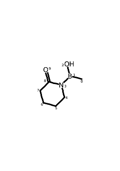 CB(O)N1CCCCC1=O